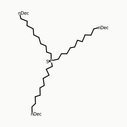 CCCCCCCCCCCCCCCCCCCCP(=S)(CCCCCCCCCCCCCCCCCCCC)CCCCCCCCCCCCCCCCCCCC